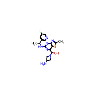 Cc1nc2nc(N[C@@H](C)c3cncc(F)c3)nc(C(O)N3CC(N)C3)c2s1